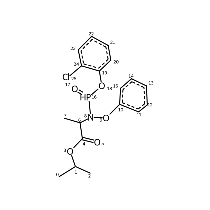 CC(C)OC(=O)C(C)N(Oc1ccccc1)[PH](=O)Oc1ccccc1Cl